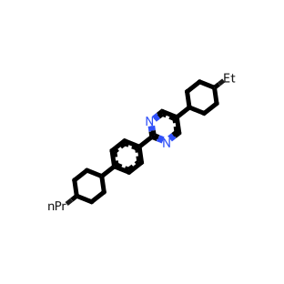 CCCC1CCC(c2ccc(-c3ncc(C4CCC(CC)CC4)cn3)cc2)CC1